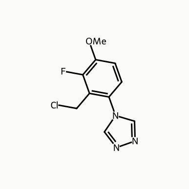 COc1ccc(-n2cnnc2)c(CCl)c1F